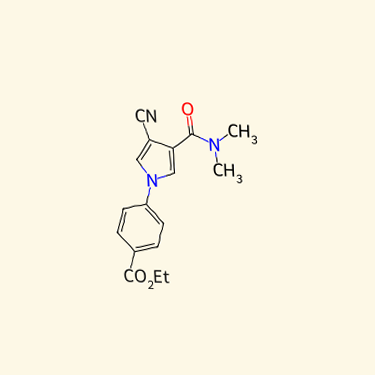 CCOC(=O)c1ccc(-n2cc(C#N)c(C(=O)N(C)C)c2)cc1